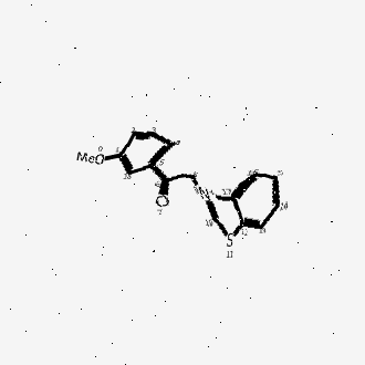 COc1cccc(C(=O)C[n+]2csc3ccccc32)c1